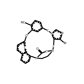 N#Cc1ccc2cc1Oc1ccc3cccc(c3c1)N1CCN(CC1=O)Cc1c(Br)ncn1C2